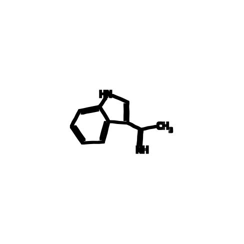 CC(=N)c1c[nH]c2ccccc12